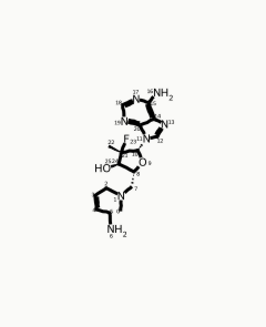 CN(C/C=C\CN)C[C@H]1O[C@@H](n2cnc3c(N)ncnc32)[C@@](C)(F)[C@@H]1O